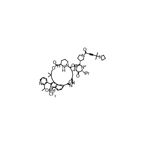 CO[C@@H](C)c1ncccc1-c1c2c3cc(ccc3n1CC(F)(F)F)-c1nnc(o1)C[C@H](NC(=O)[C@H](C(C)C)N(C)C(=O)[C@H]1CCN(C(=O)C#CC(C)(C)N3CCC3)C1)C(=O)N1CCC[C@H](N1)C(=O)OCC(C)(C)C2